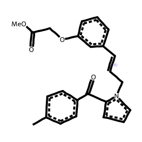 COC(=O)COc1cccc(/C=C/Cn2cccc2C(=O)c2ccc(C)cc2)c1